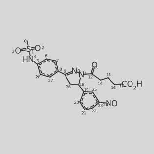 CS(=O)(=O)Nc1ccc(C2=NN(C(=O)CCCC(=O)O)C(c3cccc(N=O)c3)C2)cc1